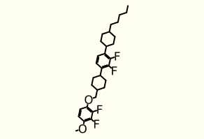 CCCCCC1CCC(c2ccc(C3CCC(COc4ccc(OC)c(F)c4F)CC3)c(F)c2F)CC1